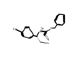 O=C(N[C@H](CO)c1ccc(Cl)cc1)OCc1ccccc1